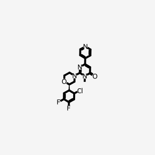 Cn1c(N2CCO[C@H](C3C=C(F)C(F)=CC3Cl)C2)nc(-c2ccncc2)cc1=O